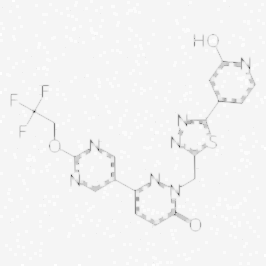 O=c1ccc(-c2cnc(OCC(F)(F)F)nc2)nn1Cc1nnc(-c2ccnc(O)c2)s1